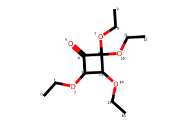 CCOC1C(=O)C(OCC)(OCC)C1OCC